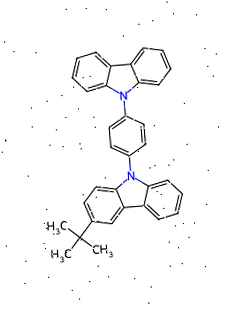 CC(C)(C)c1ccc2c(c1)c1ccccc1n2-c1ccc(-n2c3ccccc3c3ccccc32)cc1